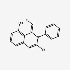 CC/C=C1\c2c(O)cccc2C=C(CC)N1c1ccccc1